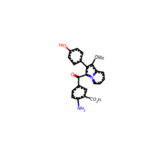 COc1c(-c2ccc(O)cc2)c(C(=O)c2ccc(N)c(C(=O)O)c2)n2ccccc12